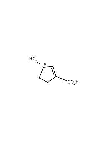 O=C(O)C1=C[C@@H](O)CC1